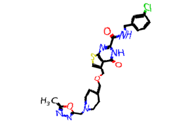 Cc1nnc(CN2CCC(COCc3csc4nc(C(=O)NCc5cccc(Cl)c5)[nH]c(=O)c34)CC2)o1